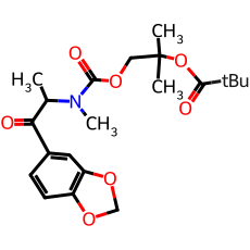 CC(C(=O)c1ccc2c(c1)OCO2)N(C)C(=O)OCC(C)(C)OC(=O)C(C)(C)C